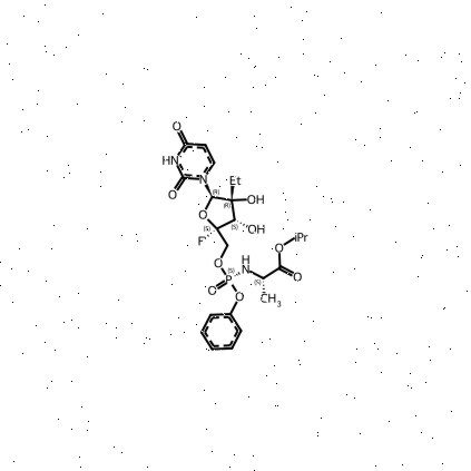 CC[C@]1(O)[C@H](n2ccc(=O)[nH]c2=O)O[C@](F)(CO[P@@](=O)(N[C@@H](C)C(=O)OC(C)C)Oc2ccccc2)[C@H]1O